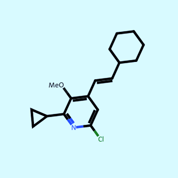 COc1c(/C=C/C2CCCCC2)cc(Cl)nc1C1CC1